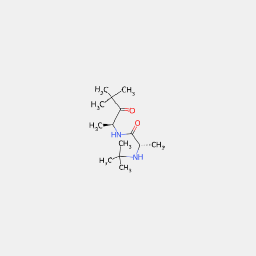 C[C@H](NC(C)(C)C)C(=O)N[C@@H](C)C(=O)C(C)(C)C